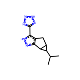 CC(C)C1C2Cc3c(n[nH]c3-c3nn[nH]n3)C21